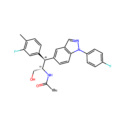 Cc1ccc([C@@H](c2ccc3c(cnn3-c3ccc(F)cc3)c2)[C@@H](CO)NC(=O)C(C)(C)C)cc1F